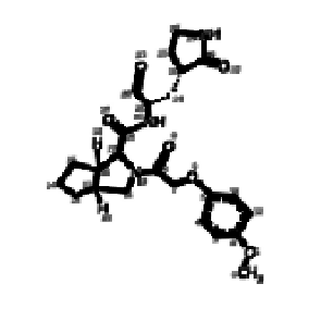 COc1ccc(OCC(=O)N2C[C@@H]3CCC[C@@H]3C2C(=O)N[C@H](C=O)C[C@@H]2CCNC2=O)cc1